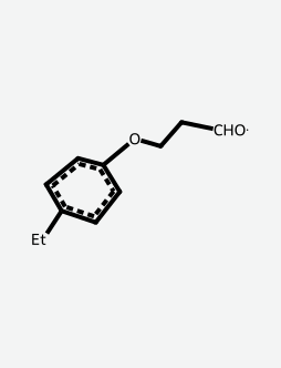 CCc1ccc(OCC[C]=O)cc1